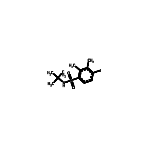 Cc1c(I)ccc(S(=O)(=O)NC(C)(C)C)c1C